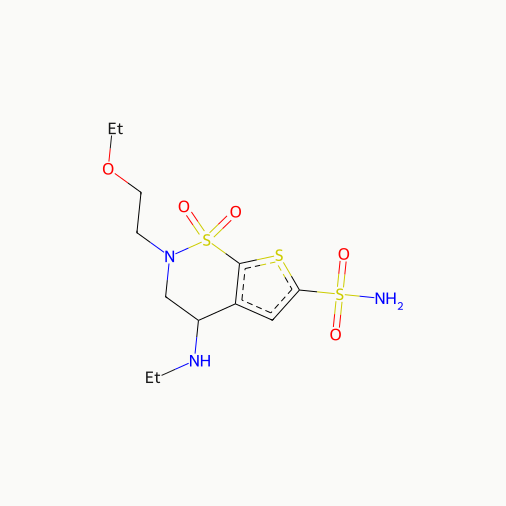 CCNC1CN(CCOCC)S(=O)(=O)c2sc(S(N)(=O)=O)cc21